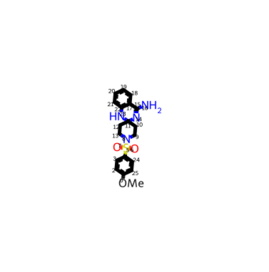 COc1ccc(S(=O)(=O)N2CCC3(CC2)N=C(N)c2ccccc2N3)cc1